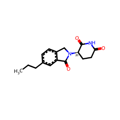 CCCc1ccc2c(c1)C(=O)N([C@@H]1CCC(=O)NC1=O)C2